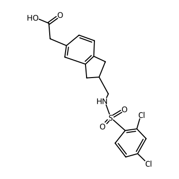 O=C(O)Cc1ccc2c(c1)CC(CNS(=O)(=O)c1ccc(Cl)cc1Cl)C2